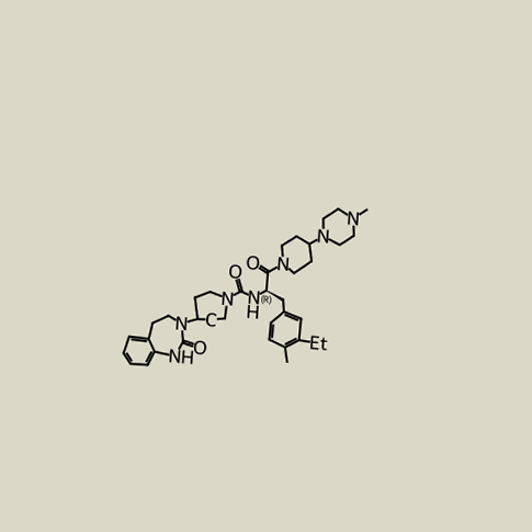 CCc1cc(C[C@@H](NC(=O)N2CCC(N3CCc4ccccc4NC3=O)CC2)C(=O)N2CCC(N3CCN(C)CC3)CC2)ccc1C